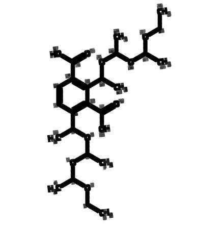 CCOC(C)OC(C)OC(C)c1ccc(C(=O)O)c(C(C)OC(C)OC(C)OCC)c1C(=O)O